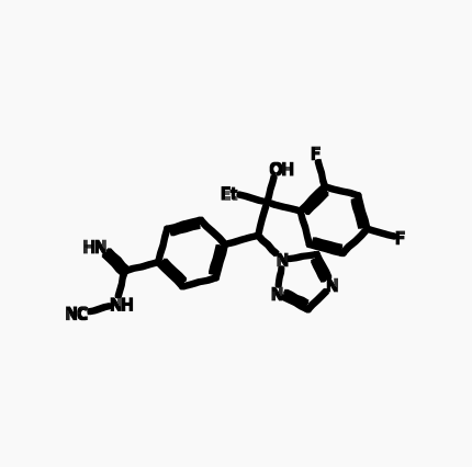 CCC(O)(c1ccc(F)cc1F)C(c1ccc(C(=N)NC#N)cc1)n1cncn1